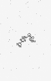 CC(C)(C)OC(=O)N1CCCC1CNc1cnc(-c2cncnc2)cn1